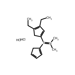 CCC1=C(CC)C[C]([Ti]([C]2=CC=CC2)=[Si](C)C)=C1.Cl.Cl